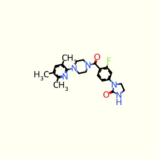 Cc1cc(C)c(N2CCN(C(=O)c3ccc(N4CCNC4=O)cc3F)CC2)nc1C